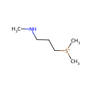 CNCCC[S+](C)C